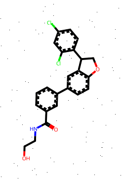 O=C(NCCO)c1cccc(-c2ccc3c(c2)C(c2ccc(Cl)cc2Cl)CO3)c1